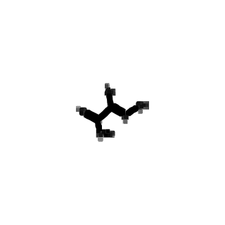 CNC(=O)C(=NO)C(C)=O